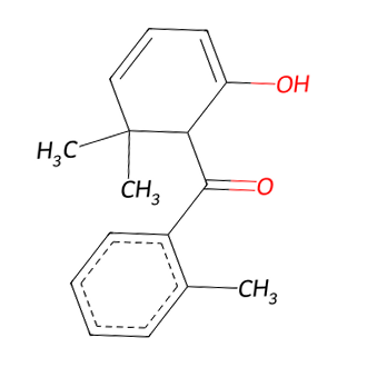 Cc1ccccc1C(=O)C1C(O)=CC=CC1(C)C